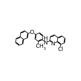 Cc1cc(Oc2ccc3ccccc3c2)ccc1Nc1ccc2cccc(Cl)c2n1